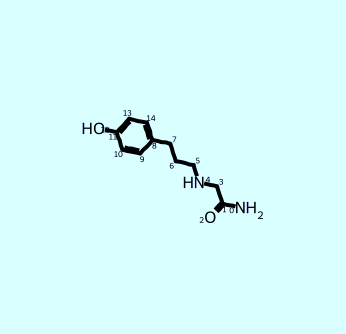 NC(=O)CNCCCc1ccc(O)cc1